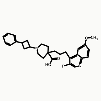 COc1ccc2ncc(F)c(CCCC3(C(=O)O)CCN(C4CC(c5ccccc5)C4)CC3)c2c1